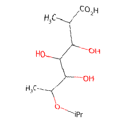 CC(C)OC(C)C(O)C(O)C(O)C(C)C(=O)O